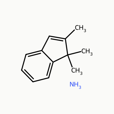 CC1=Cc2ccccc2C1(C)C.N